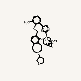 Cc1cccc(-c2csc(N3CC[C@@]4(C(=O)O)C[C@H]4C3)n2)c1OCc1ccc2c(c1C)CCN(C1CCOC1)CC2